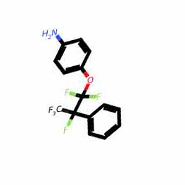 Nc1ccc(OC(F)(F)C(F)(c2ccccc2)C(F)(F)F)cc1